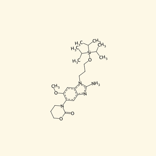 COc1cc2c(cc1N1CCCOC1=O)nc(N)n2CCCO[Si](C(C)C)(C(C)C)C(C)C